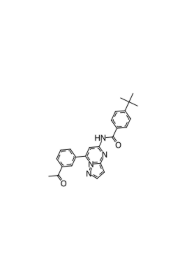 CC(=O)c1cccc(-c2cc(NC(=O)c3ccc(C(C)(C)C)cc3)nc3ccnn23)c1